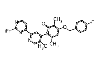 Cc1cnc(-c2ccnc(C(C)C)n2)cc1-n1c(C)cc(OCc2ccc(F)cc2)c(C)c1=O